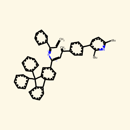 C=C/C(=N\C(=C/C(=C)c1ccc(-c2ccc(C(C)(C)C)nc2C(C)(C)C)cc1)c1ccc2c(c1)C(c1ccccc1)(c1ccccc1)c1ccccc1-2)c1ccccc1